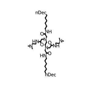 CCCCCCCCCCCCCCCCNC(=O)CN(CCN(CC(=O)NCCCCCCCCCCCCCCCC)CC(=O)NCCN(C)C)CC(=O)NCCN(C)C